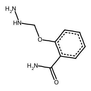 NNCOc1ccccc1C(N)=O